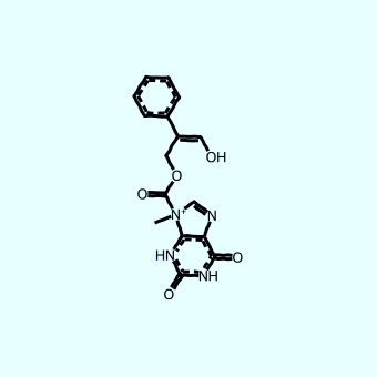 C[N+]1(C(=O)OCC(=CO)c2ccccc2)C=Nc2c1[nH]c(=O)[nH]c2=O